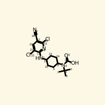 CC(C)(C)N(C(=O)O)C1CCC(Nc2nc(Cl)c(C#N)cc2Cl)CC1